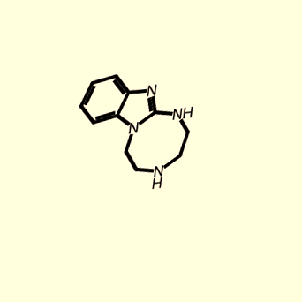 c1ccc2c(c1)nc1n2CCNCCN1